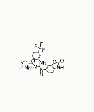 CC1NC(C(=O)/N=C(\Nc2cccc(C(F)(F)F)c2)Nc2ccc3[nH]c(=O)oc3c2)CS1